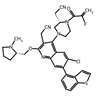 C=C(F)C(=O)N1CCN(c2c(CC#N)c(OC[C@@H]3CCCN3C)nc3cc(-c4cccc5sccc45)c(Cl)cc23)C[C@@H]1CC#N